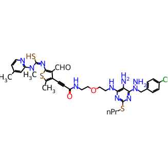 CCCSc1nc(NCCOCCNC(=O)C#Cc2c(C)sc(/N=C(/S)N(C)c3cc(C)ccn3)c2C=O)c(N)c(N(N)Cc2ccc(Cl)cc2)n1